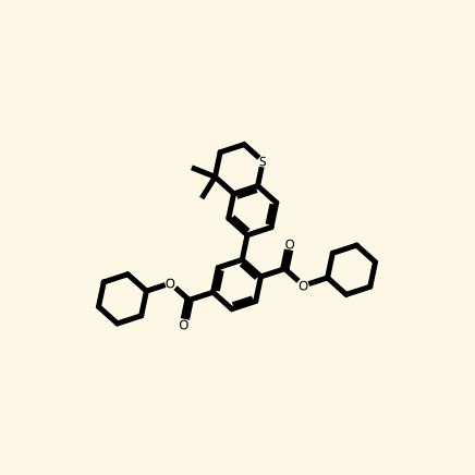 CC1(C)CCSc2ccc(-c3cc(C(=O)OC4CCCCC4)ccc3C(=O)OC3CCCCC3)cc21